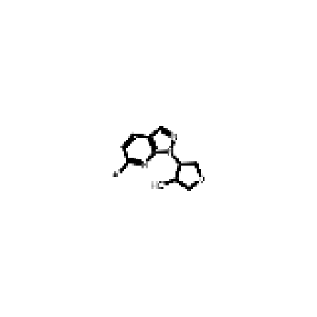 OC1COCC1n1ncc2ccc(Br)nc21